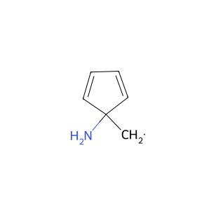 [CH2]C1(N)C=CC=C1